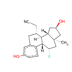 C[C@@]12C[C@H](O)C[C@H]1[C@@H]1[C@@H](CC#N)Cc3cc(O)ccc3[C@H]1[C@@H](F)C2